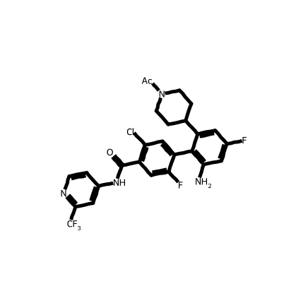 CC(=O)N1CCC(c2cc(F)cc(N)c2-c2cc(Cl)c(C(=O)Nc3ccnc(C(F)(F)F)c3)cc2F)CC1